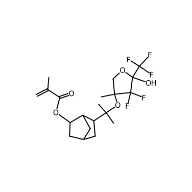 C=C(C)C(=O)OC1CC2CC1C(C(C)(C)OC1(C)COC(O)(C(F)(F)F)C1(F)F)C2